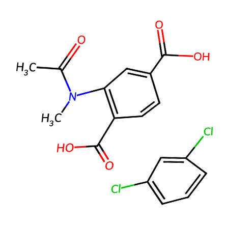 CC(=O)N(C)c1cc(C(=O)O)ccc1C(=O)O.Clc1cccc(Cl)c1